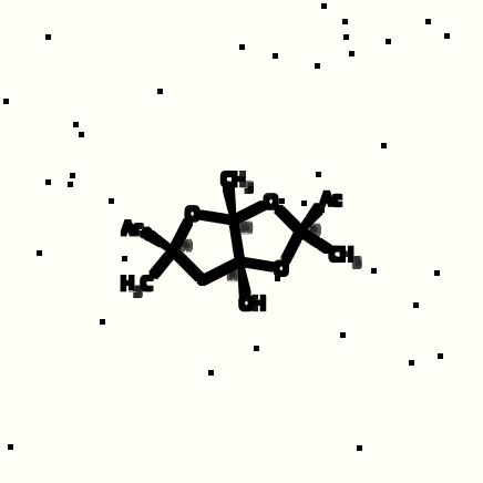 CC(=O)[C@]1(C)O[C@@]2(C)O[C@](C)(C(C)=O)C[C@@]2(O)O1